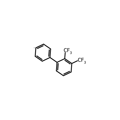 FC(F)(F)c1cccc(-c2cc[c]cc2)c1C(F)(F)F